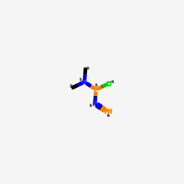 CN(C)P(Cl)N=P